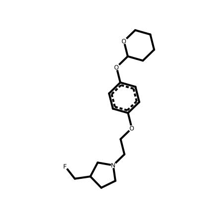 FCC1CCN(CCOc2ccc(OC3CCCCO3)cc2)C1